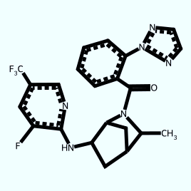 CC1C2CC(Nc3ncc(C(F)(F)F)cc3F)C(C2)N1C(=O)c1ccccc1-n1nccn1